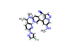 CNc1cc(-c2ccc(N(C)C(C)c3ccc(-n4cc(F)cn4)nc3)nc2)c2c(C#N)cnn2c1